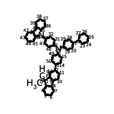 CC1(C)c2ccccc2-c2ccc(-c3ccc(N(c4ccc(-c5ccccc5)cc4)c4ccc(-n5c6ccccc6c6ccccc65)cc4)cc3)cc21